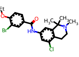 CCOc1ccc(C(=O)Nc2cc(Cl)c3c(c2)C(C)(C)N(C)CC3)cc1Br